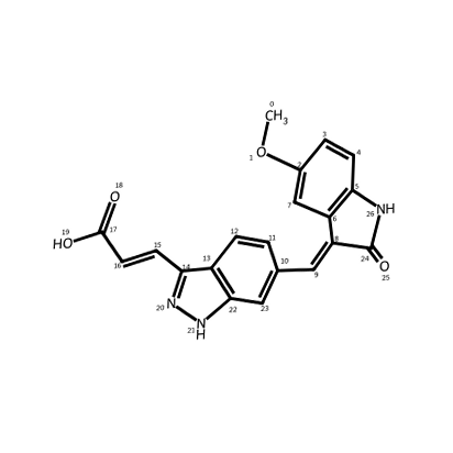 COc1ccc2c(c1)/C(=C\c1ccc3c(/C=C/C(=O)O)n[nH]c3c1)C(=O)N2